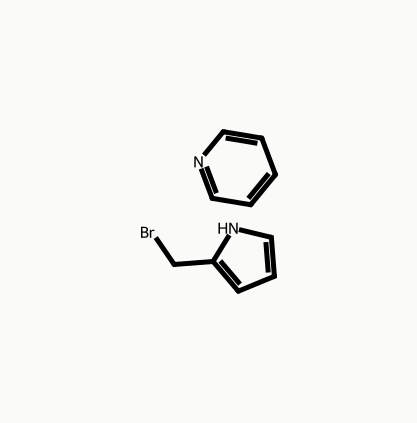 BrCc1ccc[nH]1.c1ccncc1